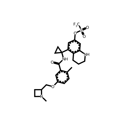 Cc1ccc(OCC2CCN2C)cc1C(=O)NC1(c2cc(OS(=O)(=O)C(F)(F)F)cc3c2CCCN3)CC1